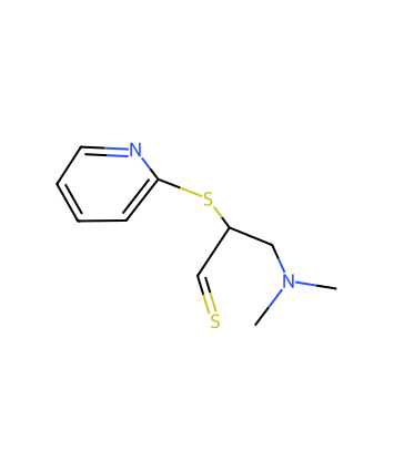 CN(C)CC(C=S)Sc1ccccn1